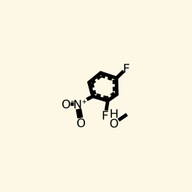 CO.O=[N+]([O-])c1ccc(F)cc1F